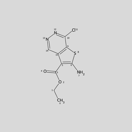 CCOC(=O)c1c(N)sc2c(Cl)nncc12